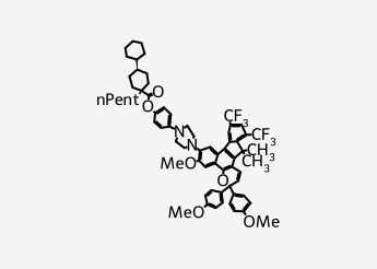 CCCCC[C@]1(C(=O)Oc2ccc(N3CCN(c4cc5c6c(c7c(c5cc4OC)OC(c4ccc(OC)cc4)(c4ccc(OC)cc4)C=C7)C(C)(C)c4c-6cc(C(F)(F)F)cc4C(F)(F)F)CC3)cc2)CC[C@H](C2CCCCC2)CC1